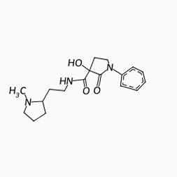 CN1CCCC1CCNC(=O)C1(O)CCN(c2ccccc2)C1=O